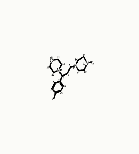 Cc1ccc(C(CCN2CCN(C)CC2)N2CCOCC2)cc1